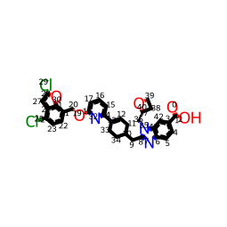 O=C(O)c1ccc2nc(CC3CC=C(c4cccc(OCc5ccc(Cl)c6cc(Cl)oc56)n4)CC3)n(C[C@@H]3CCO3)c2c1